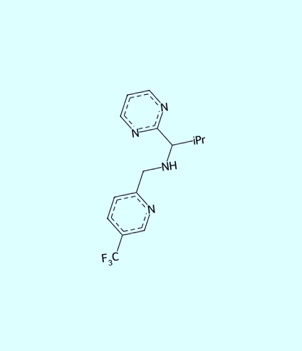 CC(C)C(NCc1ccc(C(F)(F)F)cn1)c1ncccn1